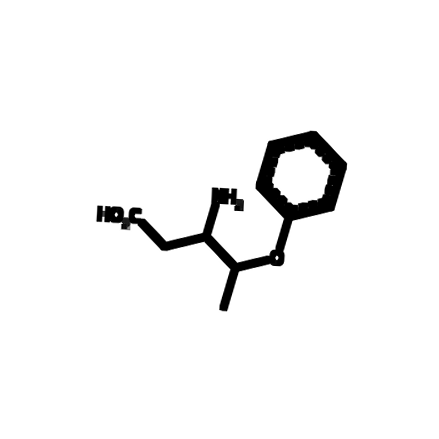 CC(Oc1ccccc1)C(N)CC(=O)O